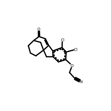 N#CCOc1cc2c(c(Cl)c1Cl)C1=CC(=O)C3CCCC1(C2)C3